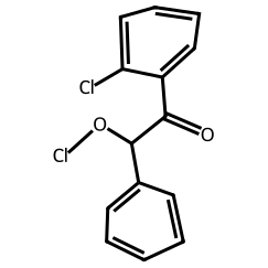 O=C(c1ccccc1Cl)C(OCl)c1ccccc1